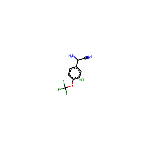 Cl.N#CC(N)c1ccc(OC(F)(F)F)cc1